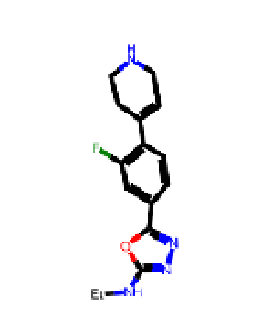 CCNc1nnc(-c2ccc(C3=CCNCC3)c(F)c2)o1